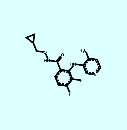 Cc1ccncc1Nc1c(C(=O)NOCC2CC2)ccc(F)c1F